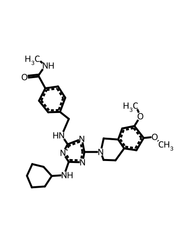 CNC(=O)c1ccc(CNc2nc(NC3CCCCC3)nc(N3CCc4cc(OC)c(OC)cc4C3)n2)cc1